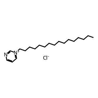 CCCCCCCCCCCCCCCC[n+]1cccnc1.[Cl-]